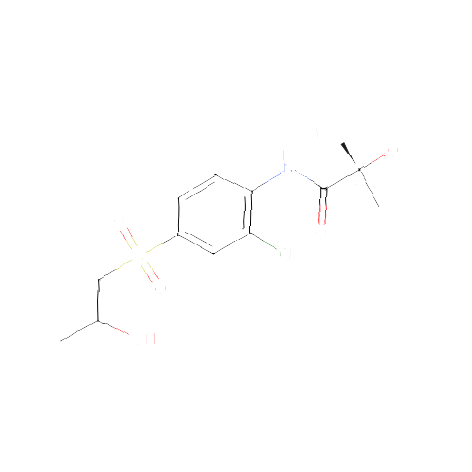 CC(O)CS(=O)(=O)c1ccc(NC(=O)[C@@](C)(O)C(F)(F)F)c(Cl)c1